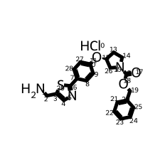 Cl.NCc1cnc(-c2ccc(O[C@@H]3CCN(C(=O)OCc4ccccc4)C3)cc2)s1